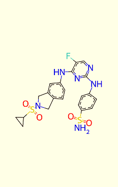 NS(=O)(=O)c1ccc(Nc2ncc(F)c(Nc3ccc4c(c3)CN(S(=O)(=O)C3CC3)C4)n2)cc1